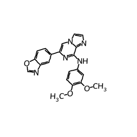 COc1ccc(Nc2nc(-c3ccc4ocnc4c3)cn3ccnc23)cc1OC